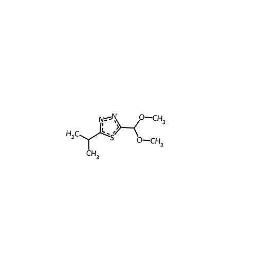 COC(OC)c1nnc(C(C)C)s1